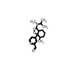 COC1(c2ccnc(C=O)c2)C(C)CCCC1CN(C)C(C)C